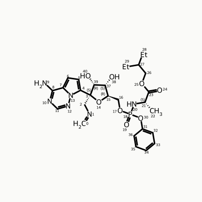 C=NC[C@@]1(c2ccc3c(N)ncnn23)O[C@H](COP(=O)(N[C@@H](C)C(=O)OCC(CC)CC)Oc2ccccc2)[C@@H](O)[C@H]1O